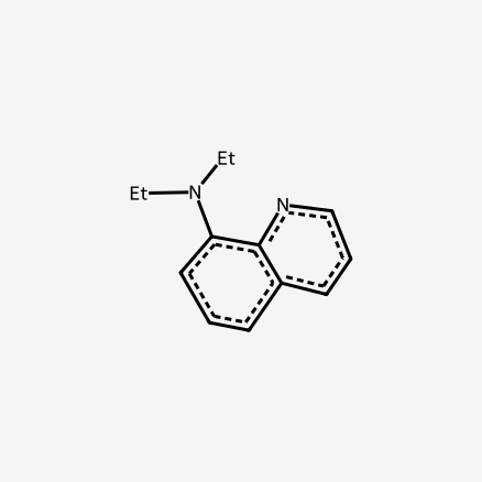 CCN(CC)c1cccc2cccnc12